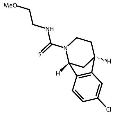 COCCNC(=S)N1CC[C@@H]2C[C@@H]1c1ccc(Cl)cc12